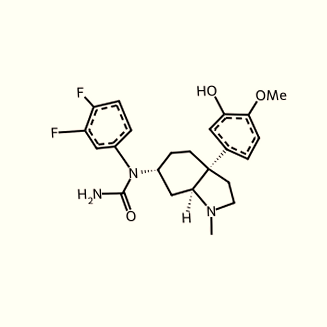 COc1ccc([C@@]23CC[C@@H](N(C(N)=O)c4ccc(F)c(F)c4)C[C@@H]2N(C)CC3)cc1O